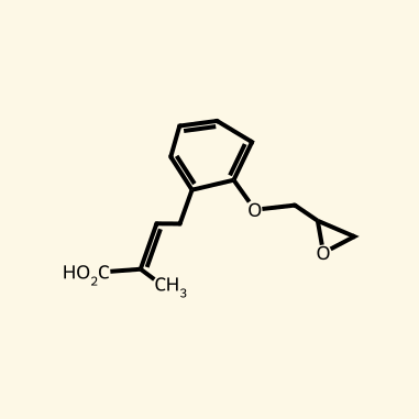 CC(=CCc1ccccc1OCC1CO1)C(=O)O